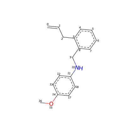 C=CCc1ccccc1CNc1ccc(OC)cc1